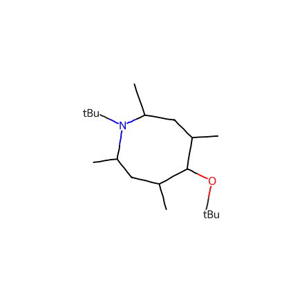 CC1CC(C)N(C(C)(C)C)C(C)CC(C)C1OC(C)(C)C